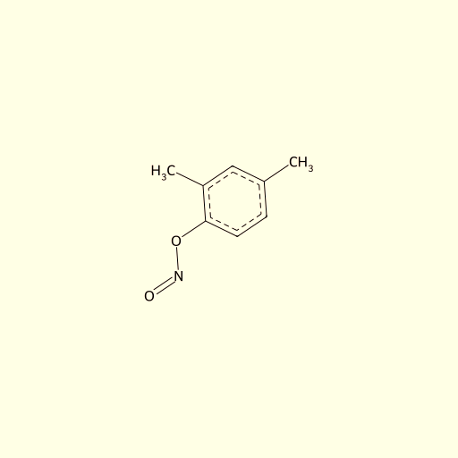 Cc1ccc(ON=O)c(C)c1